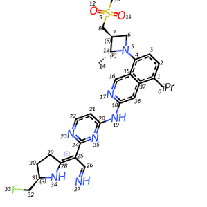 CC(C)c1ccc(N2C[C@H](CS(C)(=O)=O)[C@H]2C)c2cnc(Nc3ccnc(/C(C=N)=C4\CC[C@H](CF)N4)n3)cc12